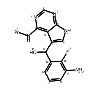 CC(C)Nc1ncnc2[nH]cc(C(O)c3cccc(N)c3F)c12